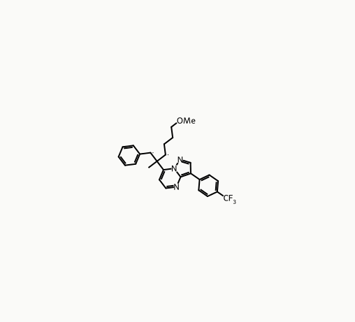 COCCC[CH]C(C)([CH]c1ccccc1)c1ccnc2c(-c3ccc(C(F)(F)F)cc3)cnn12